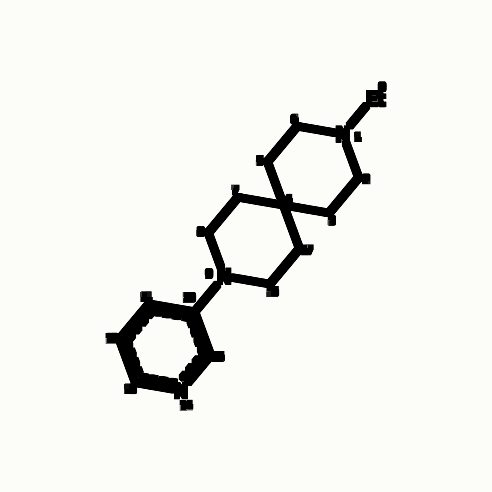 CCN1CCC2(CC1)CCN(c1cccnc1)CC2